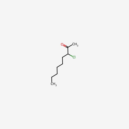 CCCCCCC(Cl)C(C)=O